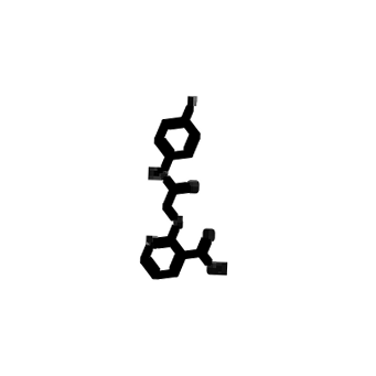 O=C(CSc1ncccc1C(=O)O)Nc1ccc(F)cc1